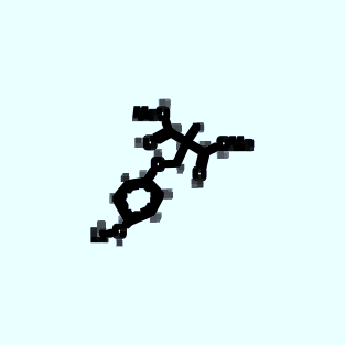 CCOc1ccc(OCC(C)(C(=O)OC)C(=O)OC)cc1